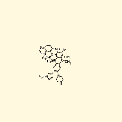 COc1cc(N2CCNCC2)c(-c2cnn(C)c2)cc1Nc1ncc(Br)c(Nc2ccc3nccnc3c2OP(C)C)n1.Cl